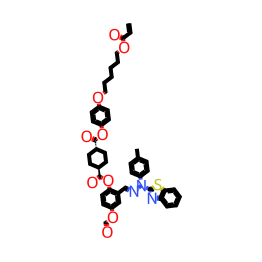 C=CC(=O)OCCCCCCOc1ccc(OC(=O)[C@H]2CC[C@H](C(=O)Oc3ccc(OC=O)cc3/C=N/N(c3ccc(C)cc3)c3nc4ccccc4s3)CC2)cc1